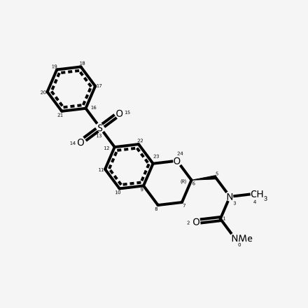 CNC(=O)N(C)C[C@H]1CCc2ccc(S(=O)(=O)c3ccccc3)cc2O1